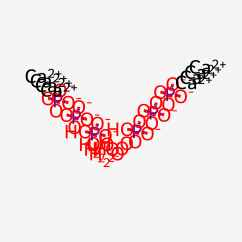 O.O.O.O.O.O=P([O-])([O-])O.O=P([O-])([O-])O.O=P([O-])([O-])[O-].O=P([O-])([O-])[O-].O=P([O-])([O-])[O-].O=P([O-])([O-])[O-].[Ca+2].[Ca+2].[Ca+2].[Ca+2].[Ca+2].[Ca+2].[Ca+2].[Ca+2]